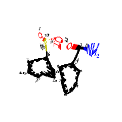 NC(=O)c1ccccc1.O=[S@](O)c1ccccc1